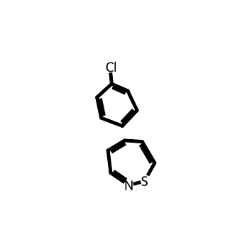 C1=CC=NSC=C1.Clc1ccccc1